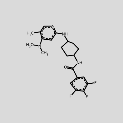 Cc1cnc(NC2CCC(NC(=O)c3cc(F)c(F)c(F)c3)CC2)cc1N(C)C